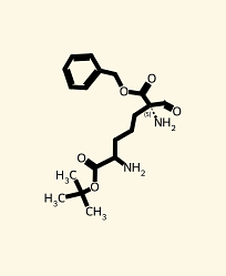 CC(C)(C)OC(=O)C(N)CCC[C@](N)([C]=O)C(=O)OCc1ccccc1